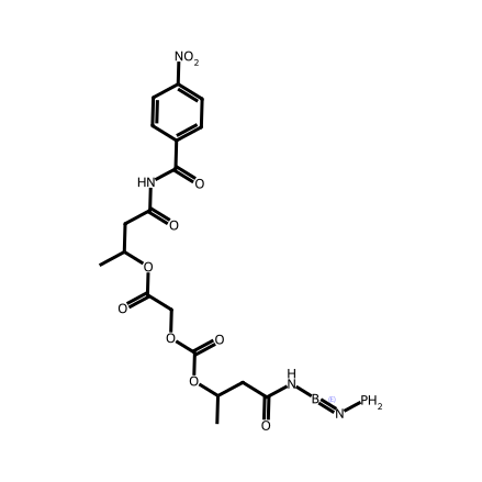 CC(CC(=O)NC(=O)c1ccc([N+](=O)[O-])cc1)OC(=O)COC(=O)OC(C)CC(=O)N/B=N/P